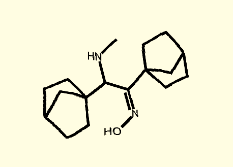 CNC(C(=NO)C12CCC(CC1)C2)C12CCC(CC1)C2